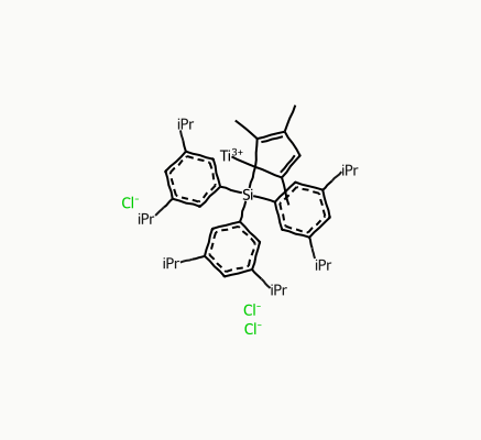 CC1=CC(C)=C(C)[C]1([Ti+3])[Si](c1cc(C(C)C)cc(C(C)C)c1)(c1cc(C(C)C)cc(C(C)C)c1)c1cc(C(C)C)cc(C(C)C)c1.[Cl-].[Cl-].[Cl-]